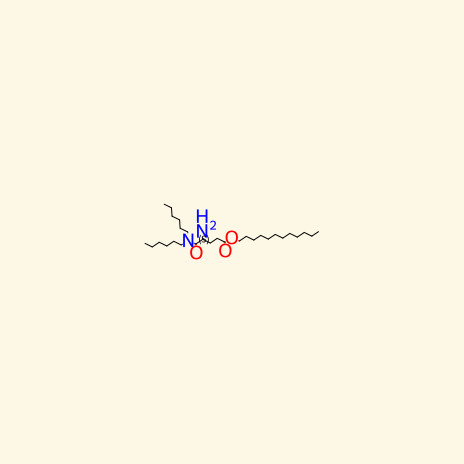 CCCCCCCCCCCCOC(=O)CC[C@H](N)C(=O)N(CCCCCC)CCCCCC